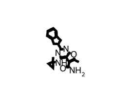 Cc1oc2nc(C3Cc4ccccc4C3)nc(NC3(C)CC3)c2c1C(N)=O